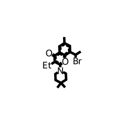 CCc1c(N2CCC(C)(C)CC2)oc2c(C(C)Br)cc(C)cc2c1=O